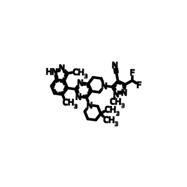 Cc1ccc2[nH]nc(C)c2c1-c1nc2c(c(N3CCCC(C)(C)C3)n1)CN(c1c(C#N)c(C(F)F)nn1C)CC2